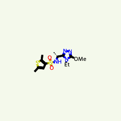 CCn1c(OC)nnc1[C@@H](C)NS(=O)(=O)c1cc(C)sc1C